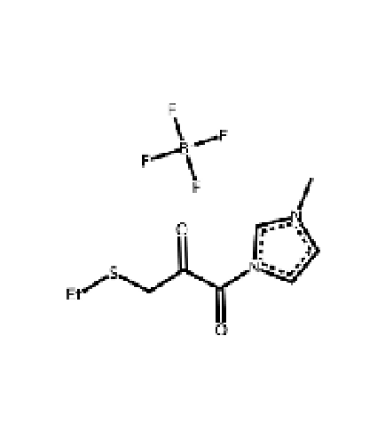 CCSCC(=O)C(=O)[n+]1ccn(C)c1.F[B-](F)(F)F